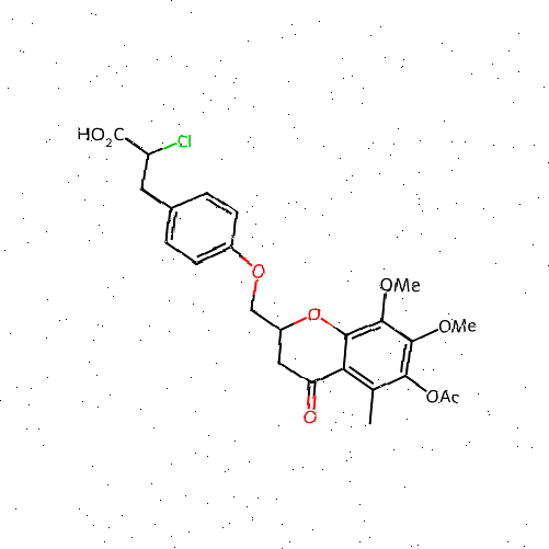 COc1c(OC(C)=O)c(C)c2c(c1OC)OC(COc1ccc(CC(Cl)C(=O)O)cc1)CC2=O